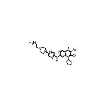 CC(=O)c1c(C)c2cnc(Nc3cnc(N4CCN(CCN)CC4)cn3)cc2n(C2CCCC2)c1=O